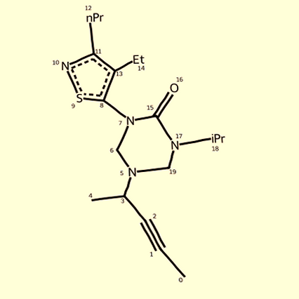 CC#CC(C)N1CN(c2snc(CCC)c2CC)C(=O)N(C(C)C)C1